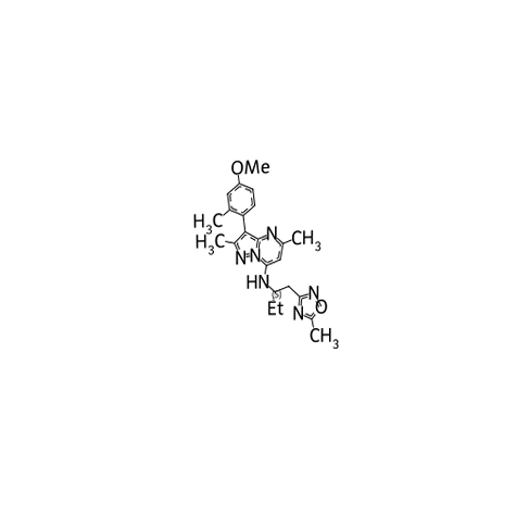 CC[C@@H](Cc1noc(C)n1)Nc1cc(C)nc2c(-c3ccc(OC)cc3C)c(C)nn12